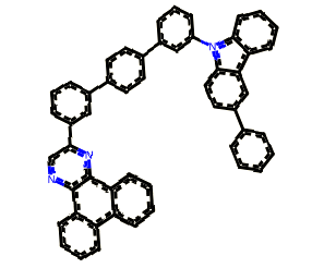 c1ccc(-c2ccc3c(c2)c2ccccc2n3-c2cccc(-c3ccc(-c4cccc(-c5cnc6c7ccccc7c7ccccc7c6n5)c4)cc3)c2)cc1